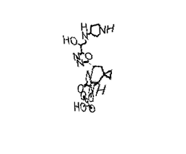 O=C1N2C[C@H](N1OS(=O)(=O)O)C1(CC1)C[C@H]2c1nnc(C(O)CNC2CCNC2)o1